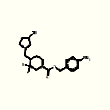 O=C(OCc1ccc([N+](=O)[O-])cc1)N1CCC(CN2CC[C@@H](S)C2)C(F)(F)C1